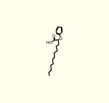 CCCCCCCCCCCC(Oc1ccccc1)C(=O)O